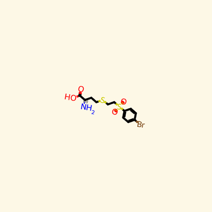 N[C@@H](CCSCCS(=O)(=O)c1ccc(Br)cc1)C(=O)O